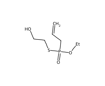 C=CCP(=O)(OCC)SCCO